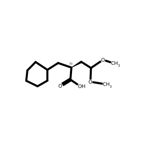 COC(C[C@H](CC1CCCCC1)C(=O)O)OC